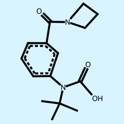 CC(C)(C)N(C(=O)O)c1cccc(C(=O)N2CCC2)c1